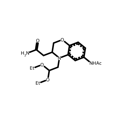 CCOC(CN1c2cc(NC(C)=O)ccc2OCC1CC(N)=O)OCC